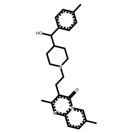 Cc1ccc(C(O)C2CCN(CCc3c(C)nc4ccc(C)cn4c3=O)CC2)cc1